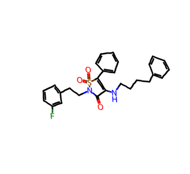 O=C1C(NCCCCc2ccccc2)=C(c2ccccc2)S(=O)(=O)N1CCc1cccc(F)c1